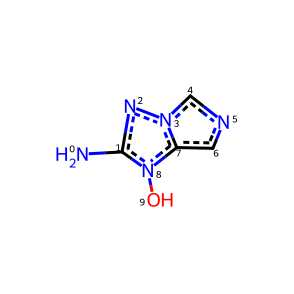 Nc1nn2cncc2n1O